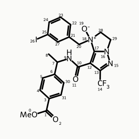 COC(=O)c1ccc(C(C)NC(=O)c2c(C(F)(F)F)nn3c2[N+]([O-])(Cc2cccc(I)c2)CC3)cc1